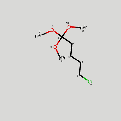 CCCOC(CCCCCl)(OCCC)OCCC